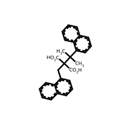 CC(C)(c1cccc2ccccc12)C(Cc1cccc2ccccc12)(C(=O)O)C(=O)O